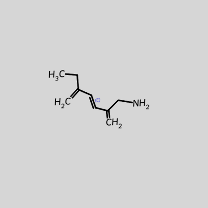 C=C(/C=C/C(=C)CN)CC